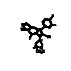 Cc1cc(-n2c(C(C)C)c([C@H]3CO[C@](C)(C(=O)O)C3)c3c(F)c4[nH]ncc4cc32)ccc1F